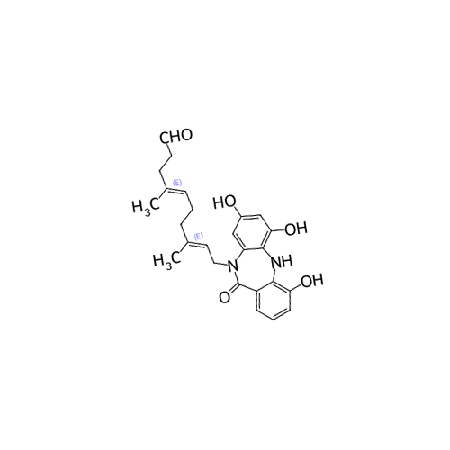 C/C(=C\CC/C(C)=C/CN1C(=O)c2cccc(O)c2Nc2c(O)cc(O)cc21)CCC=O